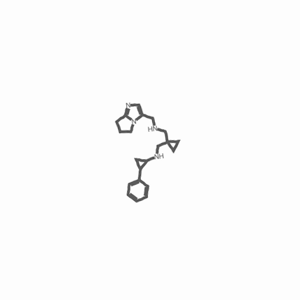 c1ccc(C2CC2NCC2(CNCc3cnc4n3CCC4)CC2)cc1